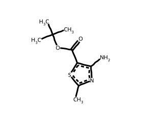 Cc1nc(N)c(C(=O)OC(C)(C)C)s1